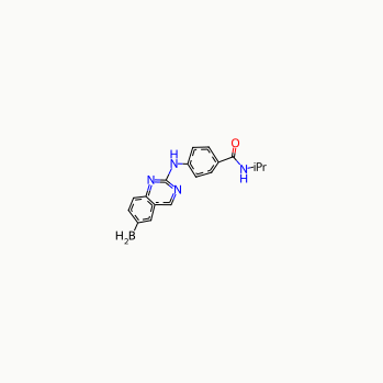 Bc1ccc2nc(Nc3ccc(C(=O)NC(C)C)cc3)ncc2c1